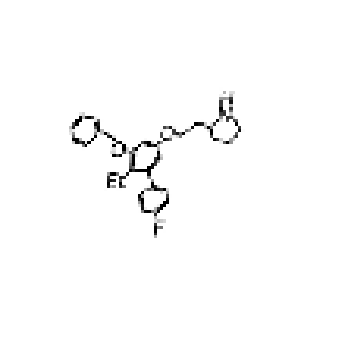 [CH2]Cc1c(OCc2ccccc2)cc(OCCC2CCCCN2)cc1-c1ccc(F)cc1